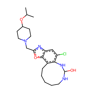 CC(C)OC1CCN(Cc2nc3cc(Cl)c4c(c3o2)CCCCCNC(O)N4)CC1